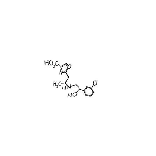 C[C@H](Cc1nc(C(=O)O)co1)NCC(O)c1cccc(Cl)c1